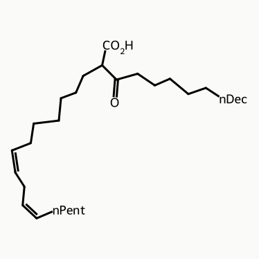 CCCCC/C=C\C/C=C\CCCCCCC(C(=O)O)C(=O)CCCCCCCCCCCCCCC